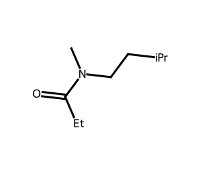 CCC(=O)N(C)CCC(C)C